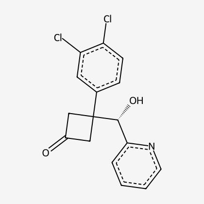 O=C1CC(c2ccc(Cl)c(Cl)c2)([C@H](O)c2ccccn2)C1